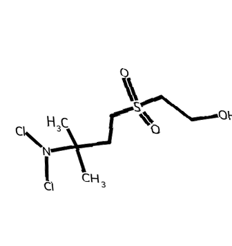 CC(C)(CCS(=O)(=O)CCO)N(Cl)Cl